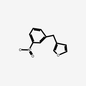 O=[N+]([O-])c1cccc(Cc2ccoc2)c1